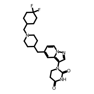 O=C1CCN(c2cnn3ccc(CC4CCN(CC5CCC(F)(F)CC5)CC4)cc23)C(=O)N1